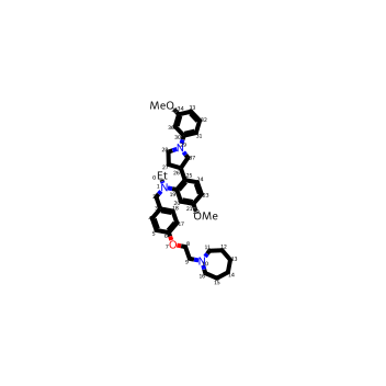 CCN(Cc1ccc(OCCN2CCCCCC2)cc1)c1cc(OC)ccc1C1CCN(c2cccc(OC)c2)C1